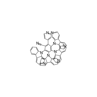 N#Cc1c(-c2ccncc2)c(-n2c3ccccc3c3ccncc32)c(-n2c3ccccc3c3ccncc32)c(-n2c3ccccc3c3ccncc32)c1-n1c2ccccc2c2ccncc21